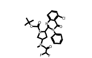 CN(C(=O)C(F)F)C1CC(c2nc3cccc(Cl)c3c(=O)n2-c2ccccc2)N(C(=O)OC(C)(C)C)C1